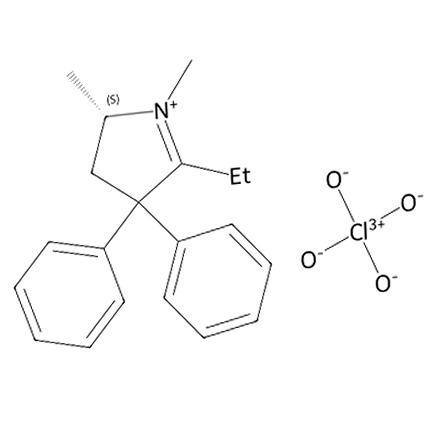 CCC1=[N+](C)[C@@H](C)CC1(c1ccccc1)c1ccccc1.[O-][Cl+3]([O-])([O-])[O-]